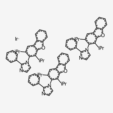 CC(C)c1cc2c(oc3ccccc32)c(C(C)C)c1-n1ccnc1-c1ccccc1.CC(C)c1cc2c(oc3ccccc32)c(C(C)C)c1-n1ccnc1-c1ccccc1.CC(C)c1cc2c(oc3ccccc32)c(C(C)C)c1-n1ccnc1-c1ccccc1.[Ir]